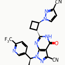 C[C@@H](c1ccc(C(F)(F)F)nc1)n1nc(C#N)c2c(=O)[nH]c([C@@H]3CC[C@H]3n3ccc(C#N)n3)nc21